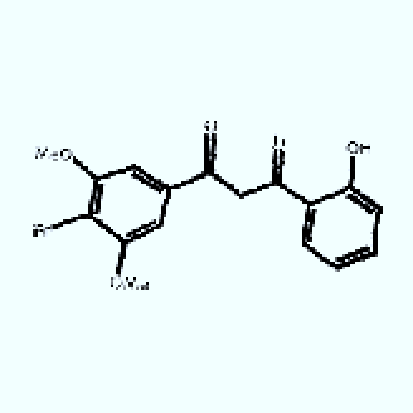 COc1cc(C(=O)CC(=O)c2ccccc2O)cc(OC)c1C(C)C